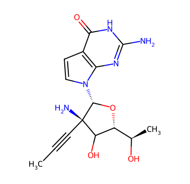 CC#C[C@@]1(N)C(O)[C@@H]([C@@H](C)O)O[C@H]1n1ccc2c(=O)[nH]c(N)nc21